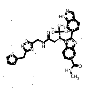 CNC(=O)c1ccc2c(c1)nc(-c1ccc3cn[nH]c3c1)n2[C@@H](CC(=O)NCc1nc(Cc2cccs2)no1)C(C)(C)C